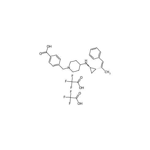 CC(=Cc1ccccc1)[C@@H]1C[C@H]1NC1CCN(Cc2ccc(C(=O)O)cc2)CC1.O=C(O)C(F)(F)F.O=C(O)C(F)(F)F